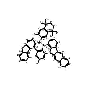 Cc1cc2c3c(c1)-n1c4cc5ccccc5cc4c4cccc(c41)B3N(c1cc3c(cc1C)C(C)(C)CCC3(C)C)c1ccc3oc4ccccc4c3c1-2